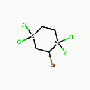 Cl[Si]1(Cl)CC[Si](Cl)(Cl)C(Br)C1